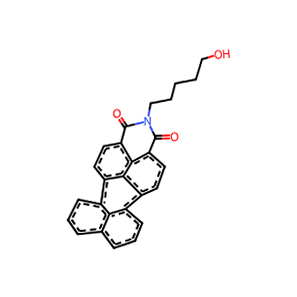 O=C1c2ccc3c4cccc5cccc(c6ccc(c2c36)C(=O)N1CCCCCO)c54